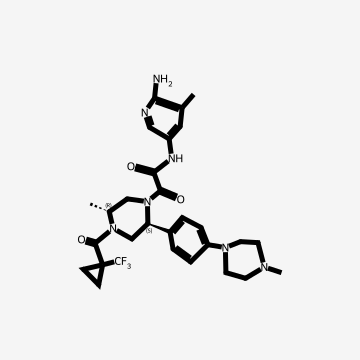 Cc1cc(NC(=O)C(=O)N2C[C@@H](C)N(C(=O)C3(C(F)(F)F)CC3)C[C@@H]2c2ccc(N3CCN(C)CC3)cc2)cnc1N